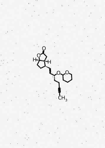 CC#CCC[C@@H](/C=C/[C@H]1CC[C@@H]2OC(=O)C[C@@H]21)OC1CCCCO1